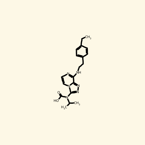 CCc1ccc(CCNc2nccn3c(N(C(=O)O)C(C)C)nnc23)cc1